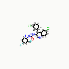 O=C(Nc1ccc(F)cc1F)Nc1cnc2ccc(Cl)cc2c1-c1cccc(Cl)c1